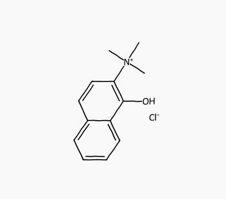 C[N+](C)(C)c1ccc2ccccc2c1O.[Cl-]